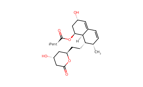 CCC[C@H](C)C(=O)O[C@H]1C[C@H](O)C=C2C=C[C@H](C)[C@H](CC[C@@H]3C[C@@H](O)CC(=O)O3)[C@H]21